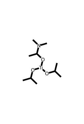 CC(C)[O][Ti]([O]C(C)C)[O]C(C)N(C)C